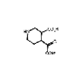 COC(=O)C1CCNCC1C(=O)O